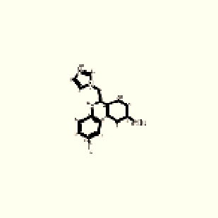 CC(C)(C)C1CCC(C(Cn2ccnc2)Sc2ccc(F)cc2)CC1